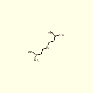 CCCCN(CCCC)CC[N]CCN(CCCC)CCCC